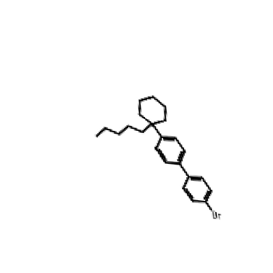 CCCCCC1(c2ccc(-c3ccc(Br)cc3)cc2)CCCCC1